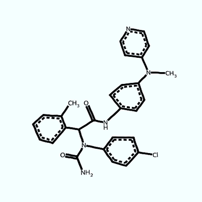 Cc1ccccc1C(C(=O)Nc1ccc(N(C)c2ccncc2)cc1)N(C(N)=O)c1ccc(Cl)cc1